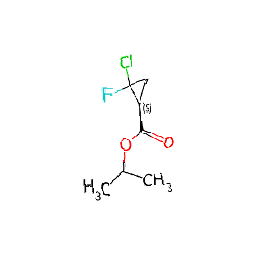 CC(C)OC(=O)[C@@H]1CC1(F)Cl